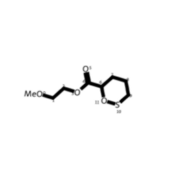 COCCOC(=O)C1CCCSO1